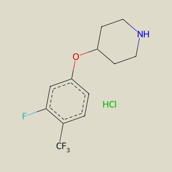 Cl.Fc1cc(OC2CCNCC2)ccc1C(F)(F)F